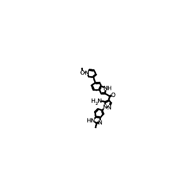 CON1C=CC=C(c2ccc3cc(C(=O)c4cnn(-c5ccc6[nH]c(C)nc6c5)c4N)[nH]c3c2)C1